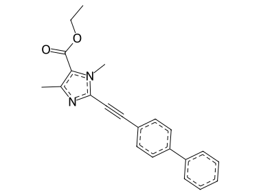 CCOC(=O)c1c(C)nc(C#Cc2ccc(-c3ccccc3)cc2)n1C